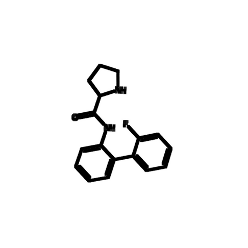 O=C(Nc1ccccc1-c1ccccc1F)C1CCCN1